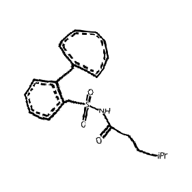 CC(C)CCC(=O)NS(=O)(=O)c1ccccc1-c1ccccc1